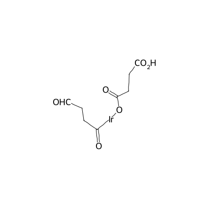 O=CCC[C](=O)[Ir][O]C(=O)CCC(=O)O